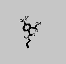 C=CCNC(=O)c1ccc([N+](=O)[O-])cc1C(=O)O